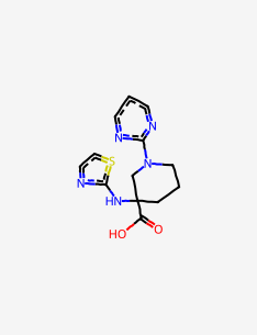 O=C(O)C1(Nc2nccs2)CCCN(c2ncccn2)C1